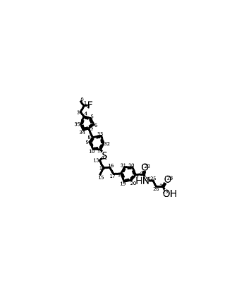 CC(F)Cc1ccc(-c2ccc(SCC(C)CCc3ccc(C(=O)NCCC(=O)O)cc3)cc2)cc1